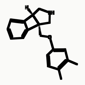 Cc1ccc(OC[C@@]23CNC[C@@H]2c2ccccc23)cc1C